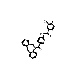 O=C(Nc1ccc(C(=O)N2Cc3ccccc3Cc3ccccc32)cc1)c1ccc(Cl)c(Cl)c1